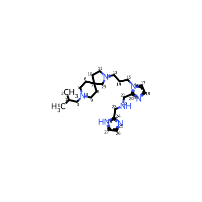 CC(C)CN1CCC2(CC1)CCN(CCCn1ccnc1CNCc1ncc[nH]1)C2